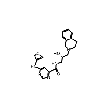 O=C(NC[C@H](O)CN1CCc2ccccc2C1)c1cc(NC2=COC2)ncn1